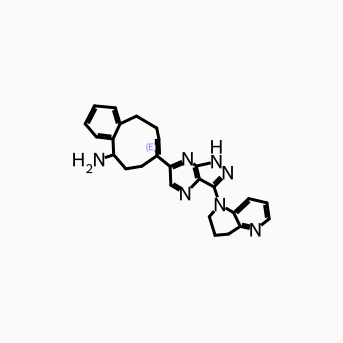 NC1CC/C(c2cnc3c(N4CCCc5ncccc54)n[nH]c3n2)=C\CCc2ccccc21